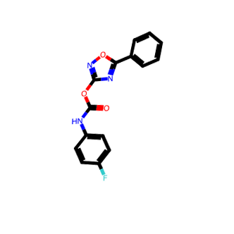 O=C(Nc1ccc(F)cc1)Oc1noc(-c2ccccc2)n1